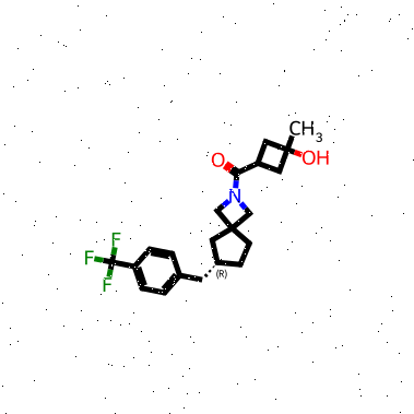 CC1(O)CC(C(=O)N2CC3(CC[C@H](Cc4ccc(C(F)(F)F)cc4)C3)C2)C1